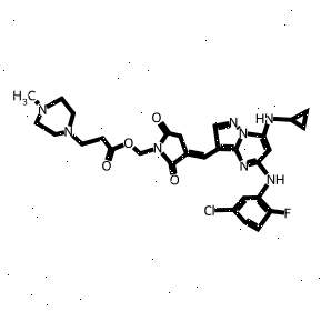 CN1CCN(CCC(=O)OCN2C(=O)CC(=Cc3cnn4c(NC5CC5)cc(Nc5cc(Cl)ccc5F)nc34)C2=O)CC1